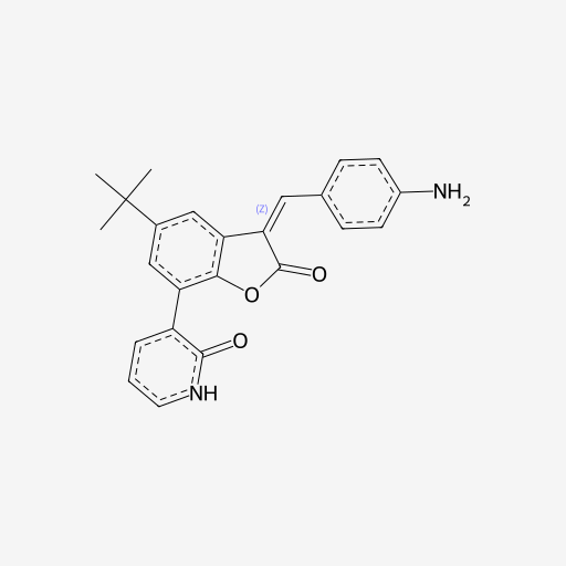 CC(C)(C)c1cc2c(c(-c3ccc[nH]c3=O)c1)OC(=O)/C2=C\c1ccc(N)cc1